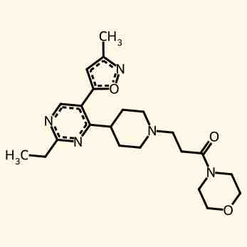 CCc1ncc(-c2cc(C)no2)c(C2CCN(CCC(=O)N3CCOCC3)CC2)n1